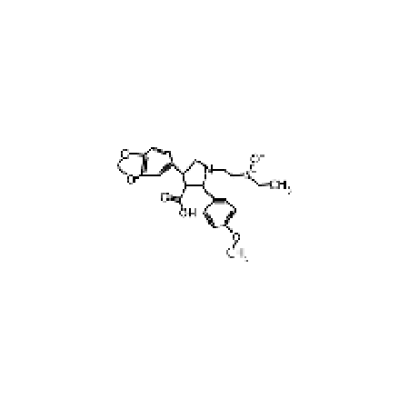 CC[S+]([O-])CCN1CC(c2ccc3c(c2)OCO3)C(C(=O)O)C1c1ccc(OC)cc1